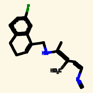 C=N/C=C\C(C(=O)O)=C(/C)NCC1=CCCc2ccc(F)cc21